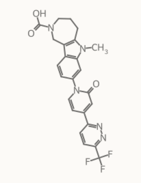 Cn1c2c(c3ccc(-n4ccc(-c5ccc(C(F)(F)F)nn5)cc4=O)cc31)CN(C(=O)O)CCC2